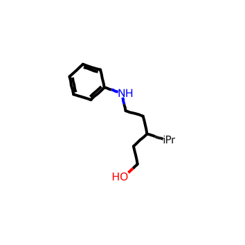 CC(C)C(CCO)CCNc1ccccc1